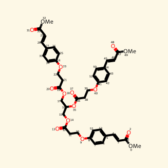 COC(=O)C=Cc1ccc(OCCC(=O)OCC(COC(=O)CCOc2ccc(C=CC(=O)OC)cc2)OC(=O)CCOc2ccc(C=CC(=O)OC)cc2)cc1